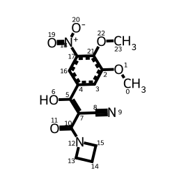 COc1cc(/C(O)=C(\C#N)C(=O)N2CCC2)cc([N+](=O)[O-])c1OC